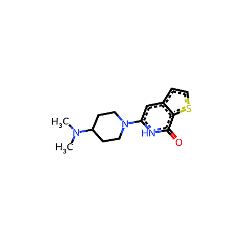 CN(C)C1CCN(c2cc3ccsc3c(=O)[nH]2)CC1